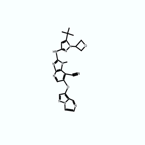 Cn1c(Nc2cc(C(C)(C)C)n(C3COC3)n2)nc2ncc(Oc3cnn4ccncc34)c(C#N)c21